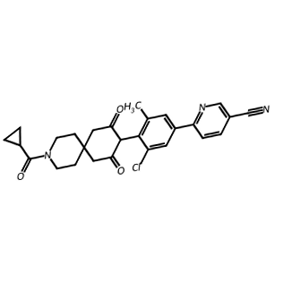 Cc1cc(-c2ccc(C#N)cn2)cc(Cl)c1C1C(=O)CC2(CCN(C(=O)C3CC3)CC2)CC1=O